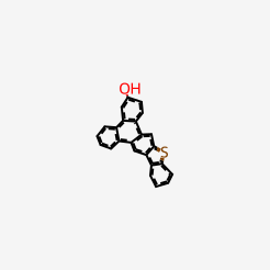 Oc1ccc2c(c1)c1ccccc1c1cc3c(cc21)sc1ccccc13